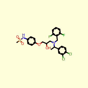 CC(c1ccc(Cl)c(Cl)c1)N(Cc1c(F)cccc1F)CC(O)COc1ccc(NS(C)(=O)=O)cc1